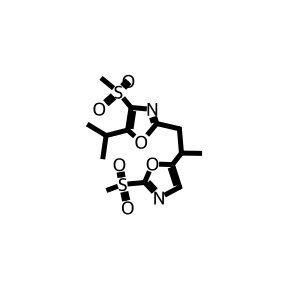 CC(C)c1oc(CC(C)c2cnc(S(C)(=O)=O)o2)nc1S(C)(=O)=O